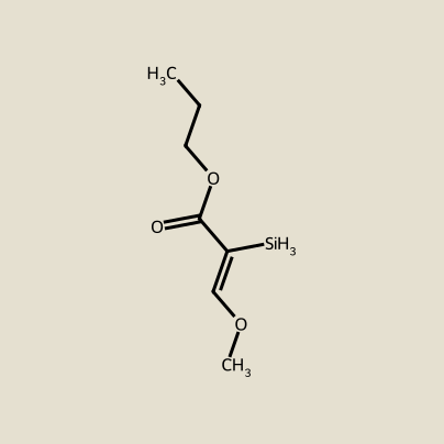 CCCOC(=O)C([SiH3])=COC